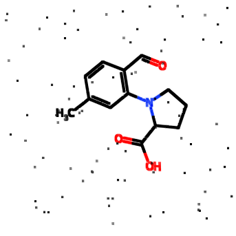 Cc1ccc(C=O)c(N2CCCC2C(=O)O)c1